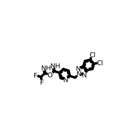 N=C(OC(=N)C(F)F)c1ccc(Cn2nc3cc(Cl)c(Cl)cc3n2)nc1